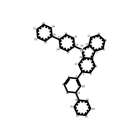 C1=CC(c2ccc3c4ccccc4n(-c4ccc(-c5ccccc5)cc4)c3c2)=CC(c2ccccc2)C1